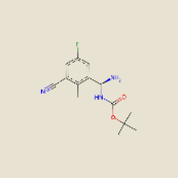 Cc1c(C#N)cc(F)cc1[C@@H](N)NC(=O)OC(C)(C)C